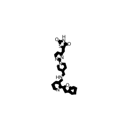 O=C1NC(=O)/C(=C/c2ccnc(N3CCC(CNCc4cccnc4-c4cc5ccccc5o4)CC3)n2)S1